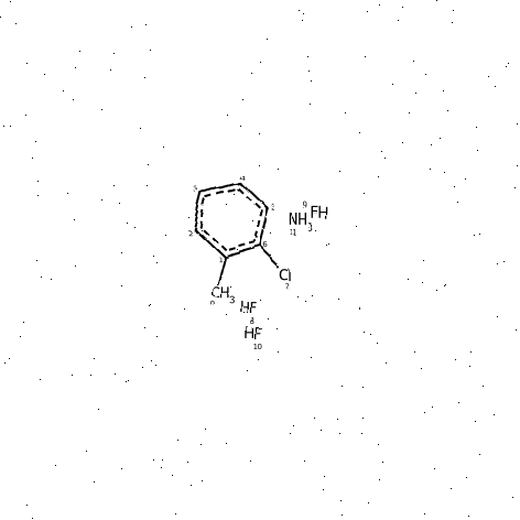 Cc1ccccc1Cl.F.F.F.N